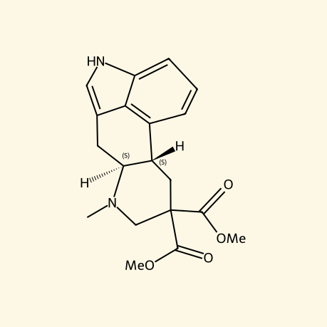 COC(=O)C1(C(=O)OC)C[C@H]2c3cccc4[nH]cc(c34)C[C@@H]2N(C)C1